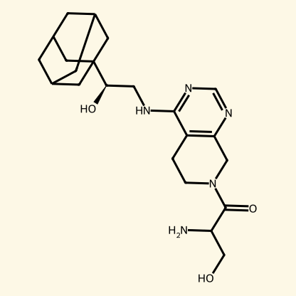 NC(CO)C(=O)N1CCc2c(ncnc2NC[C@@H](O)C23CC4CC(CC(C4)C2)C3)C1